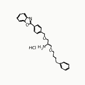 Cl.NC(COCCCCc1ccccc1)COCc1ccc(-c2nc3ccccc3o2)cc1